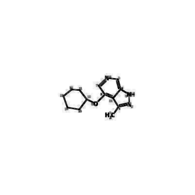 Cc1n[nH]c2cncc(OC3CCCCC3)c12